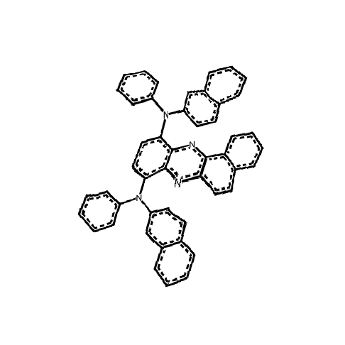 c1ccc(N(c2ccc3ccccc3c2)c2ccc(N(c3ccccc3)c3ccc4ccccc4c3)c3nc4c(ccc5ccccc54)nc23)cc1